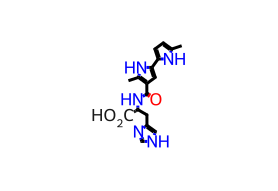 Cc1ccc(-c2cc(C(=O)NC(Cc3c[nH]cn3)C(=O)O)c(C)[nH]2)[nH]1